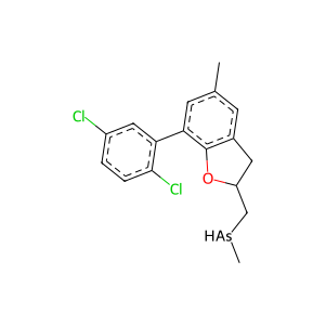 C[AsH]CC1Cc2cc(C)cc(-c3cc(Cl)ccc3Cl)c2O1